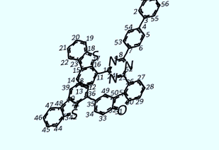 c1ccc(-c2ccc(-c3nc(-c4cccc5c4sc4ccccc45)nc(-c4cccc5oc6ccc(-c7cccc8c7sc7ccccc78)cc6c45)n3)cc2)cc1